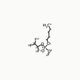 CCCCCOP(=O)(OF)OC(F)C(F)F